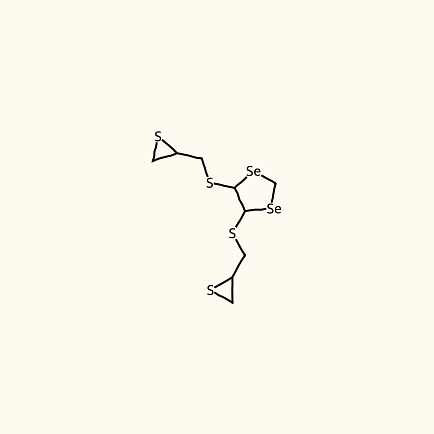 C1[Se]C(SCC2CS2)C(SCC2CS2)[Se]1